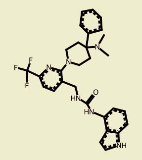 CN(C)C1(c2ccccc2)CCN(c2nc(C(F)(F)F)ccc2CNC(=O)Nc2cccc3[nH]ccc23)CC1